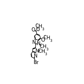 COC(=O)c1cc(OC)c2c(c1)nc(-c1cc3ccc(Br)nc3n1C)n2C